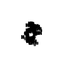 CCn1c(-c2cccnc2C(C)C)c2c3cc(ccc31)-c1cc(O)cc(c1)C[C@H](NC(=O)[C@H](C(C)C)N(C)C(=O)[C@@H]1CN[C@H]3CCO[C@H]31)C(=O)N1CCC[C@H](N1)C(=O)OCC(C)(C)C2